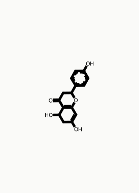 O=C1CC(c2ccc(O)cc2)OC2=C1C(O)CC(O)=C2